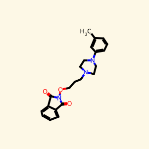 Cc1cccc(N2CCN(CCCON3C(=O)c4ccccc4C3=O)CC2)c1